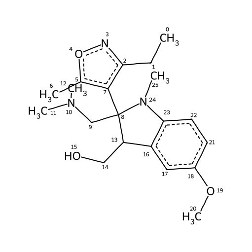 CCc1noc(C)c1C1(CN(C)C)C(CO)c2cc(OC)ccc2N1C